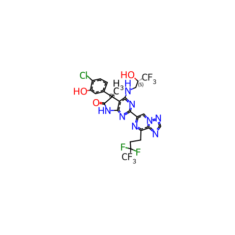 C[C@]1(c2ccc(Cl)c(O)c2)C(=O)Nc2nc(-c3cn4ncnc4c(CCC(F)(F)C(F)(F)F)n3)nc(NC[C@H](O)C(F)(F)F)c21